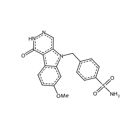 COc1ccc2c3c(=O)[nH]ncc3n(Cc3ccc(S(N)(=O)=O)cc3)c2c1